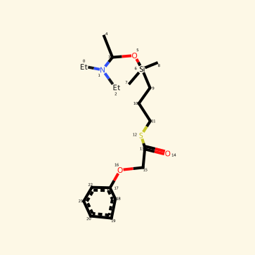 CCN(CC)C(C)O[Si](C)(C)CCCSC(=O)COc1ccccc1